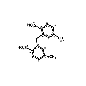 Cc1ccc(S(=O)(=O)O)c(Cc2cc(C)ccc2S(=O)(=O)O)c1